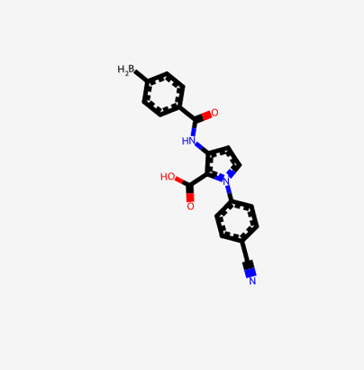 Bc1ccc(C(=O)Nc2ccn(-c3ccc(C#N)cc3)c2C(=O)O)cc1